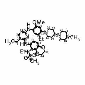 C=Cc1cnc(Nc2cc(CC)c(N3CCC(N4CCN(C)CC4)CC3)cc2OC)nc1Nc1ccc2c(c1N(CC)S(C)(=O)=O)OCCO2